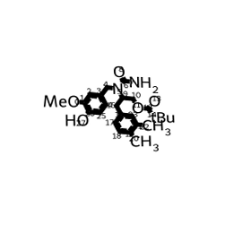 COc1cc(CN(C(N)=O)C(COC(=O)C(C)(C)C)Cc2ccc(C)c(C)c2)ccc1O